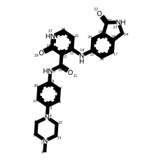 CN1CCN(c2ccc(NC(=O)c3c(Nc4ccc5c(c4)C(=O)NC5)cc[nH]c3=O)cc2)CC1